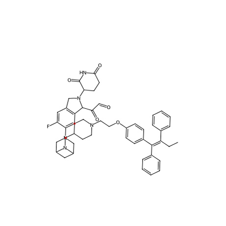 CCC(=C(c1ccccc1)c1ccc(OCCN2CCC(CN3C4CC3CN(c3cc5c(cc3F)CN(C3CCC(=O)NC3=O)C5C(=O)C=O)C4)CC2)cc1)c1ccccc1